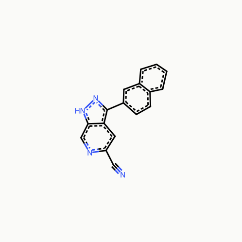 N#Cc1cc2c(-c3ccc4ccccc4c3)n[nH]c2cn1